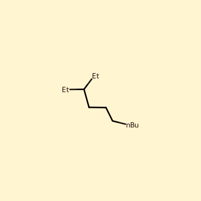 [CH2]CCCCCCC(CC)CC